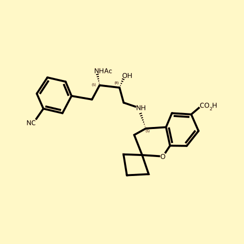 CC(=O)N[C@@H](Cc1cccc(C#N)c1)[C@H](O)CN[C@H]1CC2(CCC2)Oc2ccc(C(=O)O)cc21